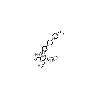 CCc1nc(C(N)=O)c(Nc2ccc(N3CCC(N4CCN(C)CC4)CC3)cc2)nc1OC[C@H]1CCCN1